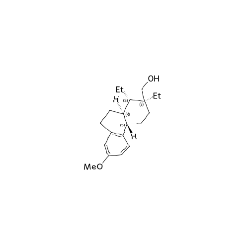 CC[C@H]1[C@@H]2CCc3cc(OC)ccc3[C@H]2CC[C@]1(CC)CO